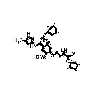 COc1cc2c(Nc3cc(C)[nH]n3)nc(Sc3ccccc3)nc2cc1OCCC(N)C(=O)OC1CCCC1